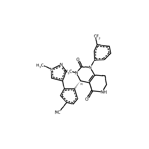 CN1C(=O)N(c2cccc(C(F)(F)F)c2)C2=C(C(=O)NCC2)[C@@H]1c1ccc(C#N)cc1-c1cnn(C)c1